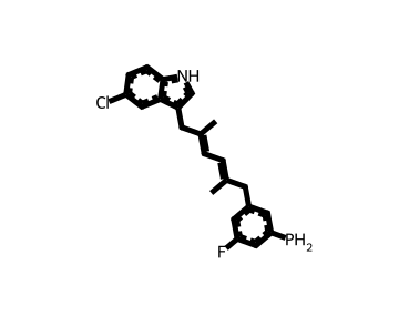 C/C(=C\C=C(/C)Cc1c[nH]c2ccc(Cl)cc12)Cc1cc(F)cc(P)c1